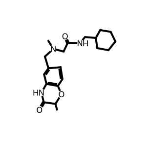 CC1Oc2ccc(CN(C)CC(=O)NCC3CCCCC3)cc2NC1=O